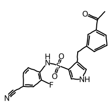 CC(=O)c1cccc(Cc2c[nH]cc2S(=O)(=O)Nc2ccc(C#N)cc2F)c1